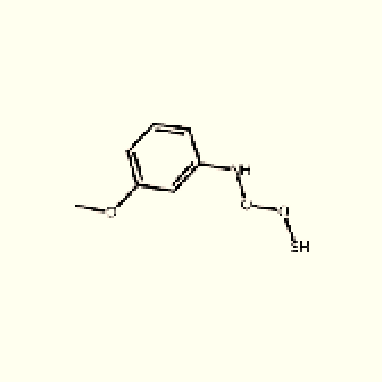 COc1cccc(NOOS)c1